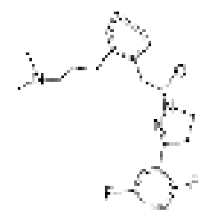 CN(C)CCCc1[c]cccc1CC(=O)N1CCC(c2cc(F)ccc2F)=N1